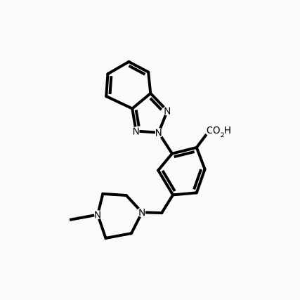 CN1CCN(Cc2ccc(C(=O)O)c(-n3nc4ccccc4n3)c2)CC1